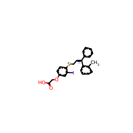 Cc1ccccc1/C(=C\CSc1ccc(OCC(=O)O)cc1I)c1ccccc1